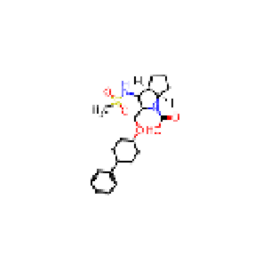 CS(=O)(=O)N[C@H]1[C@H]2CCC[C@H]2N(C(=O)O)[C@H]1COC1CCC(c2ccccc2)CC1